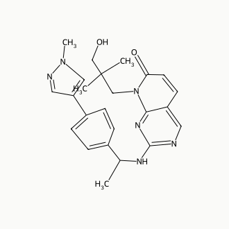 CC(Nc1ncc2ccc(=O)n(CC(C)(C)CO)c2n1)c1ccc(-c2cnn(C)c2)cc1